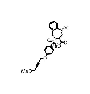 COCC#CCOc1ccc(S(=O)(=O)N2Cc3ccccc3N(C(C)=O)CC2C(=O)OC)cc1